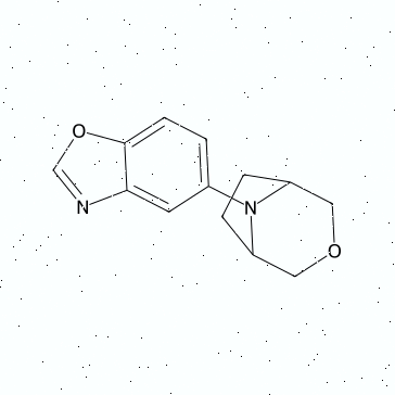 c1nc2cc(N3C4CCC3COC4)ccc2o1